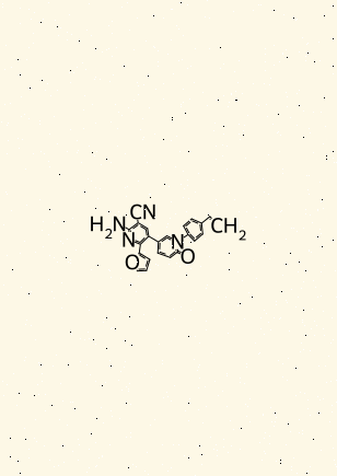 C=Cc1ccc(-n2cc(-c3cc(C#N)c(N)nc3-c3ccco3)ccc2=O)cc1